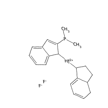 CP(C)C1=Cc2ccccc2[CH]1[Hf+2][CH]1CCC2CC=CC=C21.[F-].[F-]